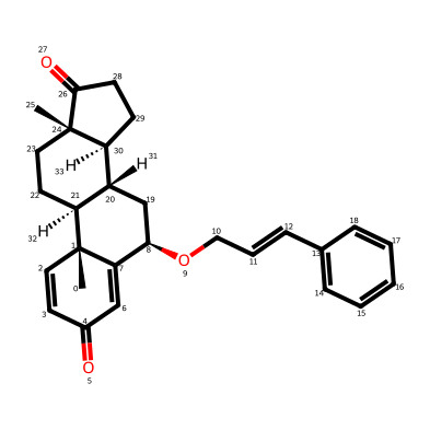 C[C@]12C=CC(=O)C=C1[C@H](OCC=Cc1ccccc1)C[C@@H]1[C@@H]2CC[C@]2(C)C(=O)CC[C@@H]12